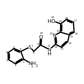 Nc1ccccc1SCC(=O)Nc1ccc2cccc(O)c2n1